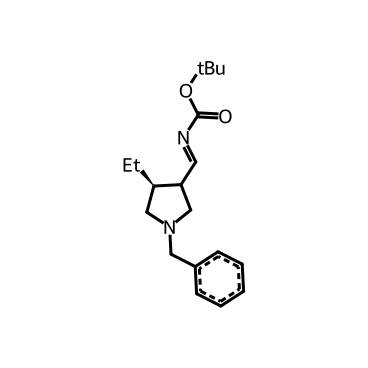 CC[C@@H]1CN(Cc2ccccc2)CC1/C=N/C(=O)OC(C)(C)C